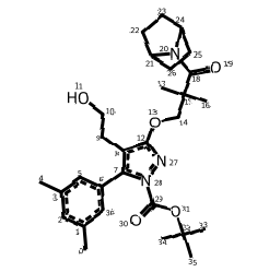 Cc1cc(C)cc(-c2c(CCO)c(OCC(C)(C)C(=O)N3C4CCC3CC4)nn2C(=O)OC(C)(C)C)c1